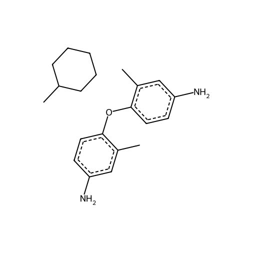 CC1CCCCC1.Cc1cc(N)ccc1Oc1ccc(N)cc1C